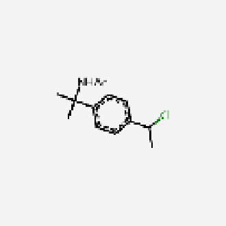 CC(=O)NC(C)(C)c1ccc(C(C)Cl)cc1